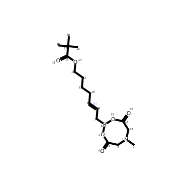 CN1CC(=O)OB(C/C=C/CCCCOC(=O)C(C)(C)C)OC(=O)C1